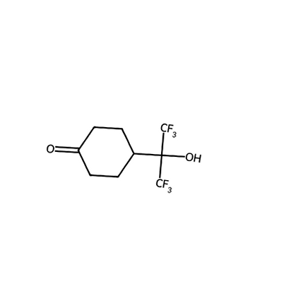 O=C1CCC(C(O)(C(F)(F)F)C(F)(F)F)CC1